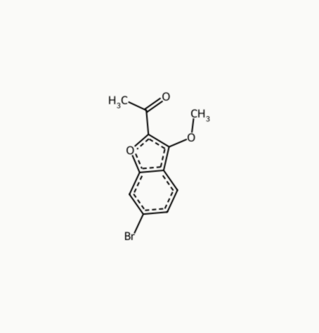 COc1c(C(C)=O)oc2cc(Br)ccc12